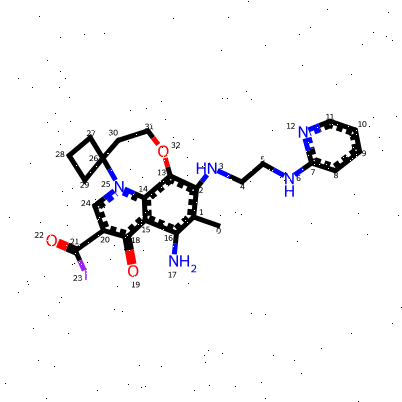 Cc1c(NCCNc2ccccn2)c2c3c(c1N)c(=O)c(C(=O)I)cn3C1(CCC1)CCO2